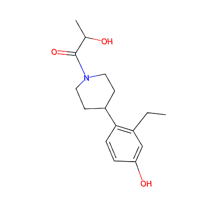 CCc1cc(O)ccc1C1CCN(C(=O)C(C)O)CC1